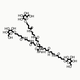 CCCCCC(=O)NC(COCCC(=O)NCCCNC(=O)CCCCOC1OC(CO)C(O)C(O)C1O)(COCCC(=O)NCCCNC(=O)CCCCOC1OC(CO)C(O)C(O)C1O)COCCC(=O)NCCCNC(=O)CCCCOC1OC(CO)C(O)C(O)C1O